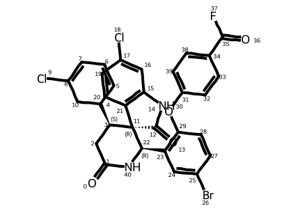 O=C1C[C@@H](C2C=CC=C(Cl)C2)[C@]2(C(=O)Nc3cc(Cl)ccc32)[C@@H](c2cc(Br)ccc2Oc2ccc(C(=O)F)cc2)N1